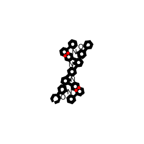 C=Cc1oc2c(N(c3ccccc3-c3ccccc3)c3cccc4c3c3cccc5c6cc7c(cc6n4c53)c3cccc4c5c(N(c6ccccc6-c6ccccc6)c6cccc8c6oc6ccccc68)cccc5n7c34)cccc2c1/C=C\C